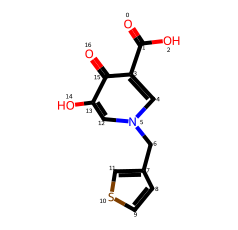 O=C(O)c1cn(Cc2ccsc2)cc(O)c1=O